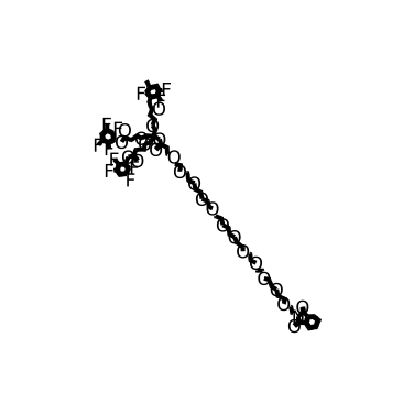 Cc1cc(F)c(F)c(CC(=O)CCOCC(COCCC(=O)Oc2c(F)c(F)cc(F)c2F)(COCCC(=O)Oc2c(F)c(F)cc(F)c2F)OC(=O)CCOCCOCCOCCOCCOCCOCCOCCOCCOCCOCCOCCOCCN2C(=O)c3ccccc3C2=O)c1F